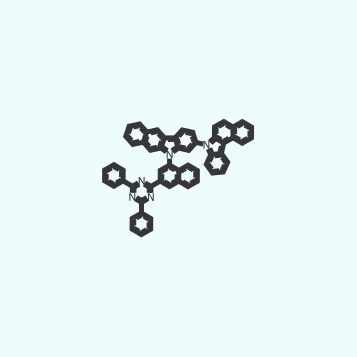 c1ccc(-c2nc(-c3ccccc3)nc(-c3cc(-n4c5cc(-n6c7ccccc7c7c8ccccc8ccc76)ccc5c5cc6ccccc6cc54)c4ccccc4c3)n2)cc1